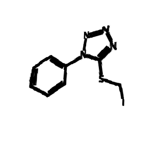 ICSc1nnnn1-c1ccccc1